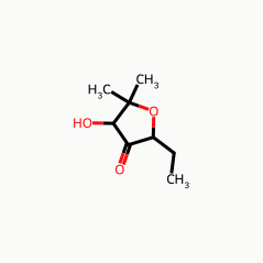 CCC1OC(C)(C)C(O)C1=O